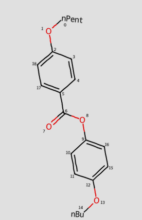 CCCCCOc1ccc(C(=O)Oc2ccc(OCCCC)cc2)cc1